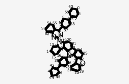 c1ccc(-c2ccc(-c3nc(-n4c5ccccc5c5c4ccc4c6ccc7oc8ccccc8c7c6n(-c6ccc(-c7ccccc7)cc6)c45)nc4ccccc34)cc2)cc1